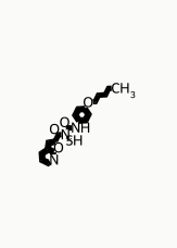 CCCCCOc1ccc(NC(=O)N(S)C(=O)c2cc3cccnc3o2)cc1